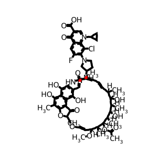 CO[C@H]1/C=C/O[C@@]2(C)Oc3c(C)c(O)c4c(O)c(c(/C=N/NC5CCN(c6c(F)cc7c(=O)c(C(=O)O)cn(C8CC8)c7c6Cl)C5)c(O)c4c3C2=O)NC(=O)/C(C)=C\C=C\[C@H](C)[C@H](O)[C@@H](C)[C@@H](O)[C@@H](C)[C@H](OC(C)=O)[C@@H]1C